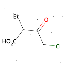 CCC(C(=O)O)C(=O)CCl